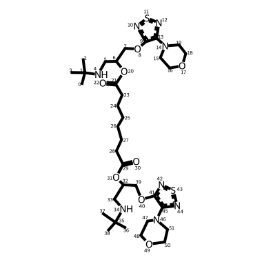 CC(C)(C)NCC(COc1nsnc1N1CCOCC1)OC(=O)CCCCCCC(=O)OC(CNC(C)(C)C)COc1nsnc1N1CCOCC1